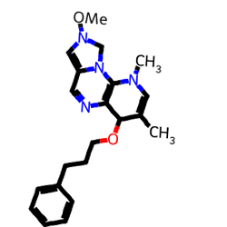 CON1C=C2C=NC3=C(N(C)C=C(C)C3OCCCc3ccccc3)N2C1